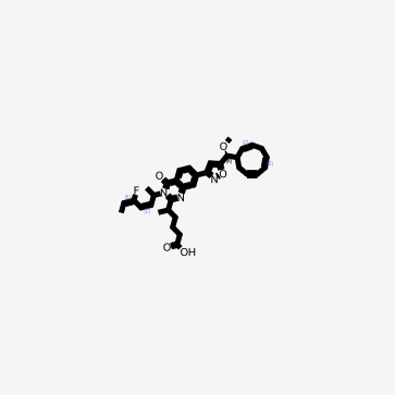 C/C=C(F)\C=C/C(C)n1c(C(C)CCCC(=O)O)nc2cc(-c3cc([C@H](OC)C4/C=C\C/C=C\C#CC4)on3)ccc2c1=O